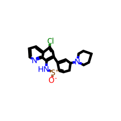 [O-][S+]1Nc2c(cc(Cl)c3cccnc23)C2=CC(N3CCCCC3)CC=C21